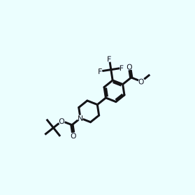 COC(=O)c1ccc(C2CCN(C(=O)OC(C)(C)C)CC2)cc1C(F)(F)F